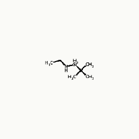 CCN[SiH2]C(C)(C)C